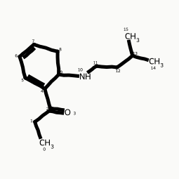 CCC(=O)C1=CC=CCC1NCCC(C)C